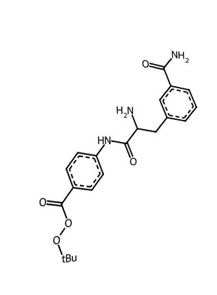 CC(C)(C)OOC(=O)c1ccc(NC(=O)C(N)Cc2cccc(C(N)=O)c2)cc1